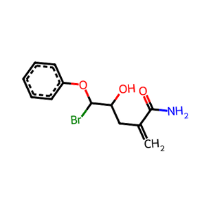 C=C(CC(O)C(Br)Oc1ccccc1)C(N)=O